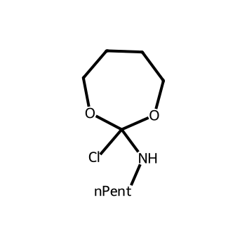 CCCCCNC1(Cl)OCCCCO1